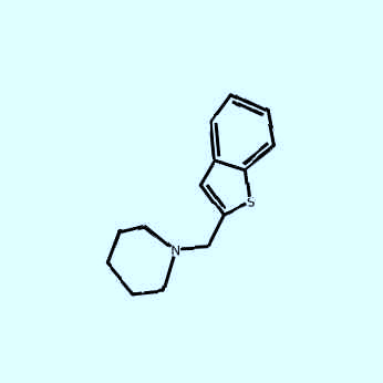 c1ccc2sc(CN3CCCCC3)cc2c1